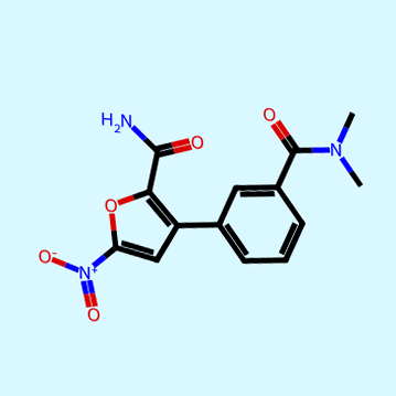 CN(C)C(=O)c1cccc(-c2cc([N+](=O)[O-])oc2C(N)=O)c1